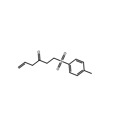 C=CCC(=O)CCS(=O)(=O)c1ccc(C)cc1